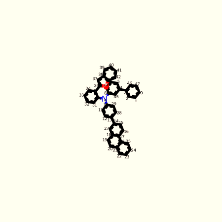 c1ccc(-c2cccc(N(c3ccc(-c4ccc5c(ccc6ccccc65)c4)cc3)c3ccccc3-c3cc4ccccc4o3)c2)cc1